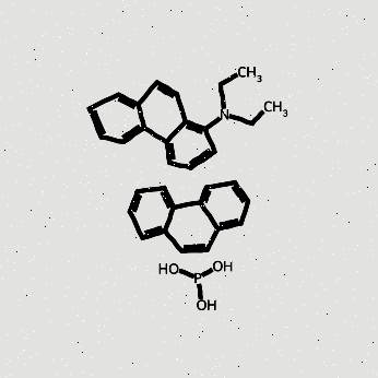 CCN(CC)c1cccc2c1ccc1ccccc12.OP(O)O.c1ccc2c(c1)ccc1ccccc12